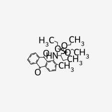 CCO[Si](OCC)(OCC)C(CC)Nc1c(C)ccc2c1C(=O)c1ccccc1C2=O